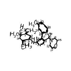 C=C1CC(Nc2ncc(C(=O)N3CCOCC3)c(-c3cccc(C)c3)n2)C(C)CC1(C)C